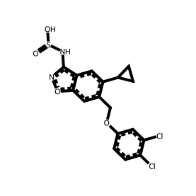 O=S(O)Nc1noc2cc(COc3ccc(Cl)c(Cl)c3)c(C3CC3)cc12